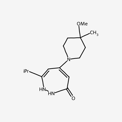 COC1(C)CCN(C2=CC(=O)NNC(C(C)C)=C2)CC1